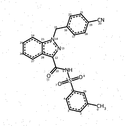 Cc1cccc(S(=O)(=O)NC(=O)c2nn(Cc3ccc(C#N)cc3)c3ccccc23)c1